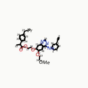 C#Cc1cccc(Nc2ncnc3cc(OCCOC(=O)C(C)c4ccc(CC(C)C)cc4)c(OCCOC)cc23)c1